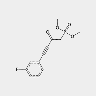 COP(=O)(CC(=O)C#Cc1cccc(F)c1)OC